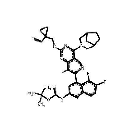 CC(C)(C)OC(=O)Nc1cc(-c2ncc3c(N4CC5CCC(C5)C4)nc(OCC4(C=O)CC4)nc3c2F)c2c(F)c(F)ccc2c1